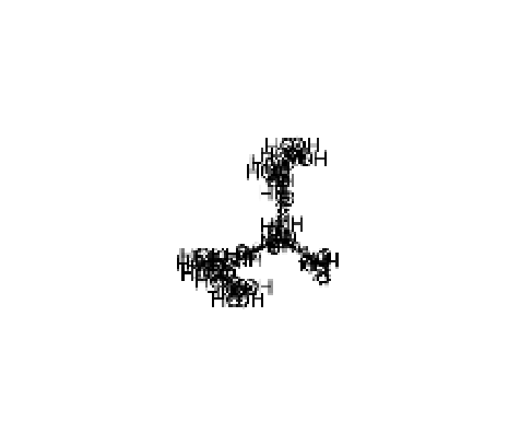 O=C[C@H](Cc1ccccc1)NNC(=O)CCCCCNC(=O)CN(CC(=O)NCCCCCC(=O)NCCO[C@H]1O[C@H](CO[C@H]2O[C@H](CO)[C@@H](O)[C@H](O)[C@@H]2O)[C@@H](O)[C@H](O)[C@@H]1O)CC(=O)NCCCCCC(=O)NCCO[C@H]1O[C@H](CO[C@H]2O[C@H](CO)[C@@H](O)[C@H](O)[C@@H]2O)[C@@H](O)[C@H](O[C@H]2O[C@H](CO)[C@@H](O)[C@H](O)[C@@H]2O)[C@@H]1O